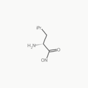 CC(C)C[C@@H](N)C(=O)N=O